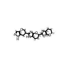 c1n[nH]c2c1OCC(c1nc3c([nH]1)CCC(c1nc4c(o1)OCCC4)O3)C2